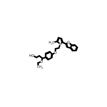 CCOC(CCO)c1ccc(OCCn2c(C)ccc2-c2cc3ccccc3o2)cc1